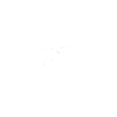 CCCCCCCC[N+](CCCCCCCC)(CCCCCCCC)c1ccccc1.O=S(=O)([O-])O